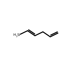 C=CCC=C[SiH3]